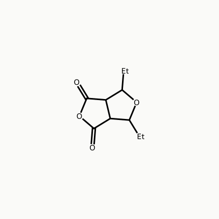 CCC1OC(CC)C2C(=O)OC(=O)C12